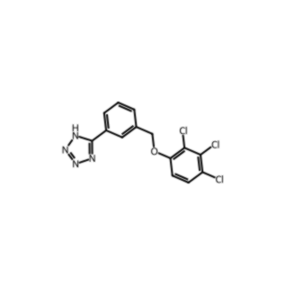 Clc1ccc(OCc2cccc(-c3nnn[nH]3)c2)c(Cl)c1Cl